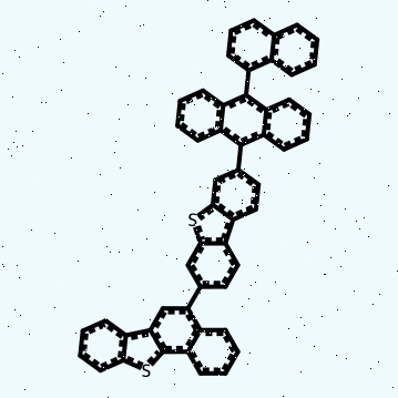 c1ccc2c(-c3c4ccccc4c(-c4ccc5c(c4)sc4cc(-c6cc7c8ccccc8sc7c7ccccc67)ccc45)c4ccccc34)cccc2c1